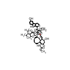 COC(=O)NC1=C2C#C/C=C\C#C[C@H](OC3OC(C)C(OC)(C(=O)c4nccc5c4[nH]c4ccc(O)cc45)C(O)C3OC3CC(OC)C(NC(C)C)CO3)C2/C(=C\CSC(C)=O)[C@@H](O)CC1=O